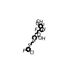 COc1ccc2nccc(C(F)CC[C@@H]3CCN(CCCSc4cc(F)cc(Cl)c4)C[C@@H]3C(=O)O)c2c1